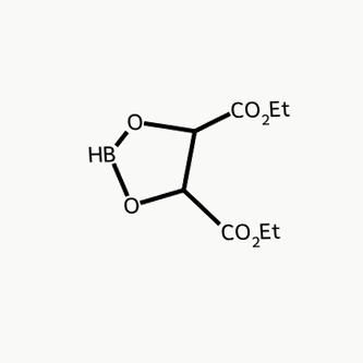 CCOC(=O)C1OBOC1C(=O)OCC